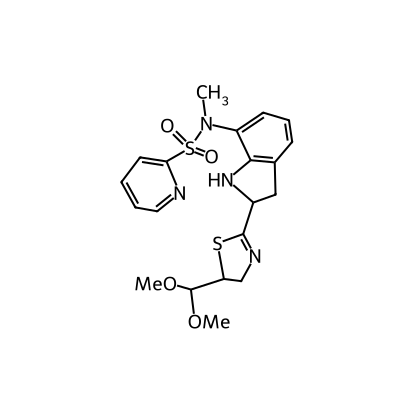 COC(OC)C1CN=C(C2Cc3cccc(N(C)S(=O)(=O)c4ccccn4)c3N2)S1